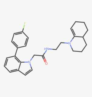 O=C(Cn1ccc2cccc(-c3ccc(F)cc3)c21)NCCN1CCCC2CCCC=C21